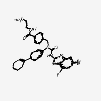 O=C(O)CCNC(=O)c1ccc(CN(C(=O)Nc2nc3cc(Br)cc(F)c3s2)c2ccc(C3=CCCCC3)cc2)cc1